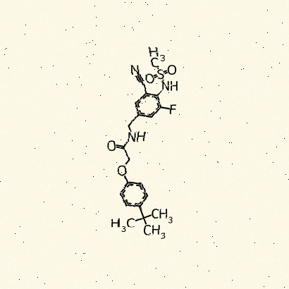 CC(C)(C)c1ccc(OCC(=O)NCc2cc(F)c(NS(C)(=O)=O)c(C#N)c2)cc1